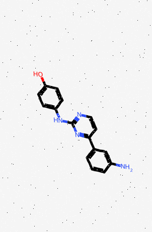 Nc1cccc(-c2ccnc(Nc3ccc(O)cc3)n2)c1